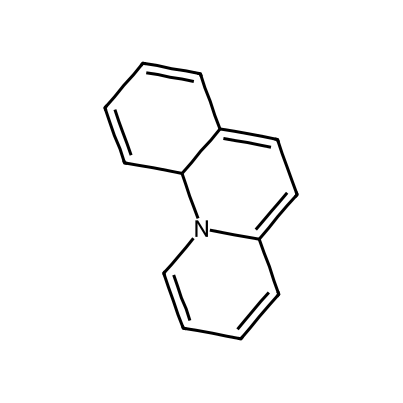 C1=CC2=CC=C3C=CC=CN3C2C=C1